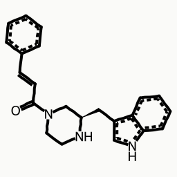 O=C(C=Cc1ccccc1)N1CCN[C@H](Cc2c[nH]c3ccccc23)C1